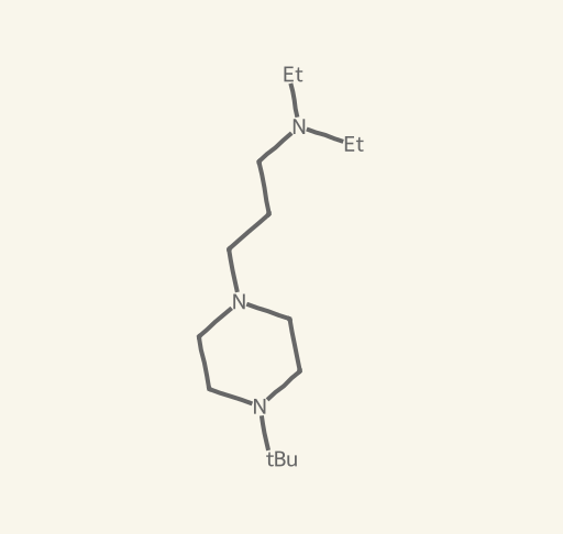 CCN(CC)CCCN1CCN(C(C)(C)C)CC1